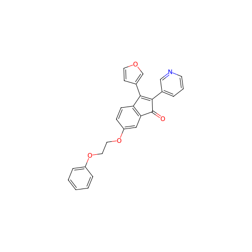 O=C1C(c2cccnc2)=C(c2ccoc2)c2ccc(OCCOc3ccccc3)cc21